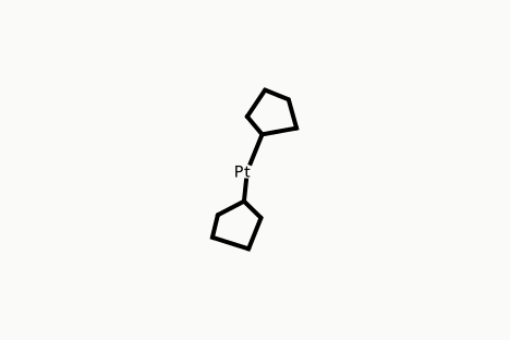 C1CC[CH]([Pt][CH]2CCCC2)C1